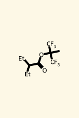 CCC(CC)C(=O)OC(C)(C(F)(F)F)C(F)(F)F